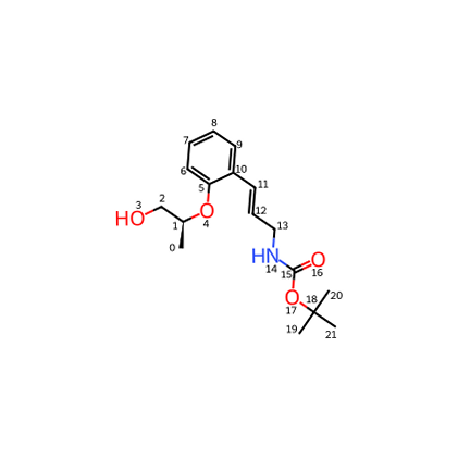 C[C@@H](CO)Oc1ccccc1/C=C/CNC(=O)OC(C)(C)C